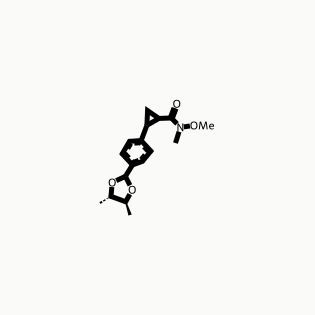 CON(C)C(=O)C1CC1c1ccc(C2O[C@@H](C)[C@H](C)O2)cc1